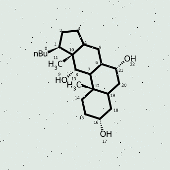 CCCC[C@H]1CCC2CC3C([C@H](O)[C@@]21C)[C@@]1(C)CC[C@@H](O)CC1C[C@H]3O